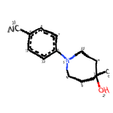 CC1(O)CCN(c2ccc(C#N)cc2)CC1